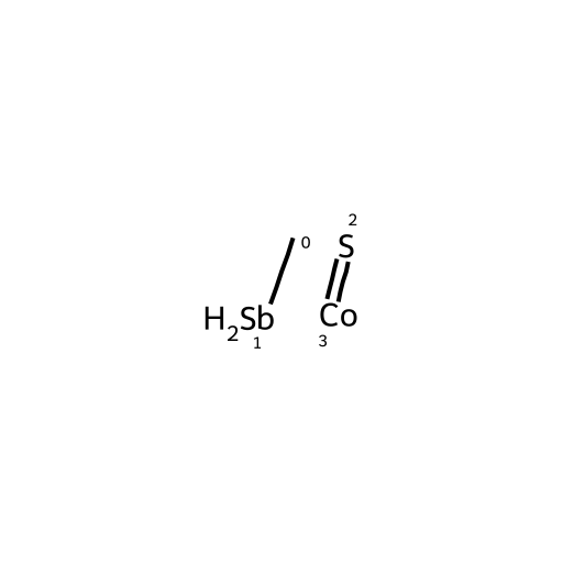 [CH3][SbH2].[S]=[Co]